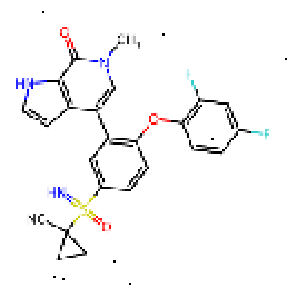 Cn1cc(-c2cc(S(=N)(=O)C3(C#N)CC3)ccc2Oc2ccc(F)cc2F)c2cc[nH]c2c1=O